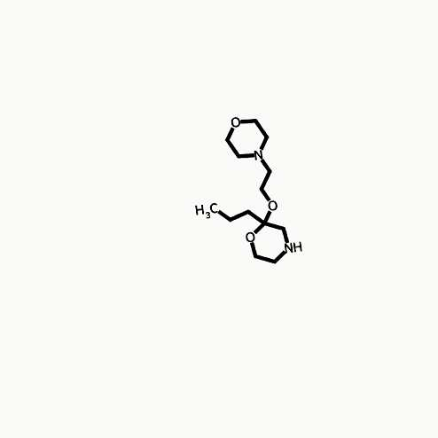 CCCC1(OCCN2CCOCC2)CNCCO1